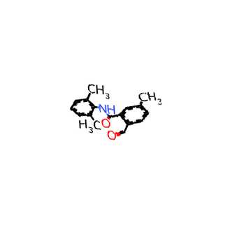 Cc1ccc(C=O)c(C(=O)Nc2c(C)cccc2C)c1